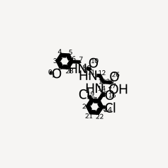 COc1cccc(CNC(=O)NCC(NC(=O)c2c(Cl)cccc2Cl)C(=O)O)c1